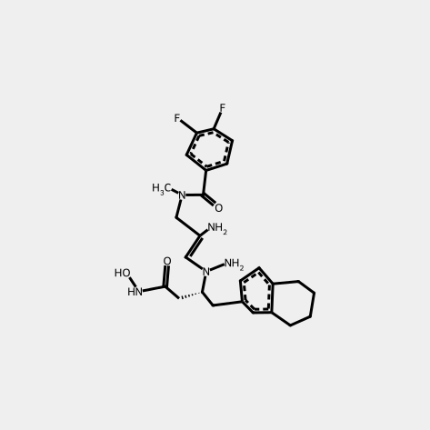 CN(C/C(N)=C/N(N)[C@@H](CC(=O)NO)Cc1ccc2c(c1)CCCC2)C(=O)c1ccc(F)c(F)c1